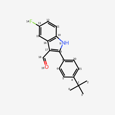 CC(C)(C)c1ccc(-c2[nH]c3ccc(F)cc3c2C=O)cc1